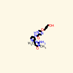 CN1C(=O)CC(C)(c2cc(NC(=O)c3cnc(OCC#CCO)cn3)ccn2)N=C1N